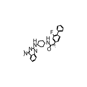 C[C@H](C(=O)N[C@H]1CC[C@@H](Nc2nc(N(C)C)c3ccccc3n2)CC1)c1ccc(-c2ccccc2)c(F)c1